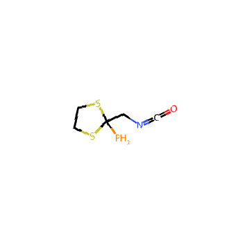 O=C=NCC1(P)SCCS1